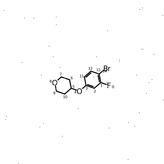 Fc1cc(OC2CCOCC2)ccc1Br